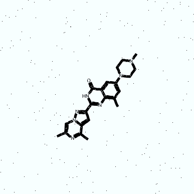 Cc1cn2nc(-c3nc4c(C)cc(N5CCN(C)CC5)cc4c(=O)[nH]3)cc2c(C)n1